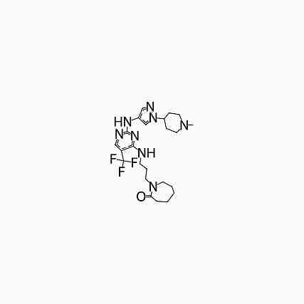 CN1CCC(n2cc(Nc3ncc(C(F)(F)F)c(NCCCN4CCCCCC4=O)n3)cn2)CC1